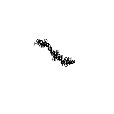 C[C@H]1CN(C2CCN(c3ccc4c(c3)C(=O)N(C3CCC(=O)NC3=O)C4=O)CC2)CCN1c1ccc(Nc2cc(-c3ccnc(N4CCn5c(cc6c5CC(C)(C)C6)C4=O)c3CO)cn(C)c2=O)nc1C(F)(F)F